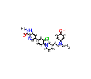 CCNC(=O)c1ccc(-c2ccc(N3CCCC(CCN(C)C4CCC(O)CC4)C3)c(Cl)c2)cn1